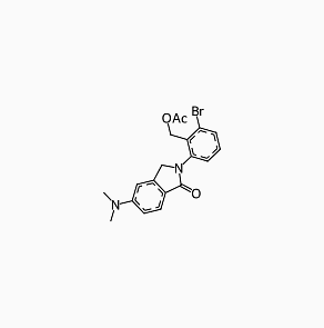 CC(=O)OCc1c(Br)cccc1N1Cc2cc(N(C)C)ccc2C1=O